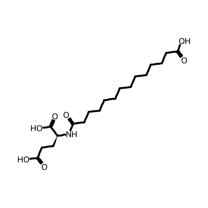 O=C(O)CCCCCCCCCCCCC(=O)N[C@@H](CCC(=O)O)C(=O)O